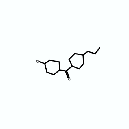 CCCC1CCC(C(=O)C2CCC(Cl)CC2)CC1